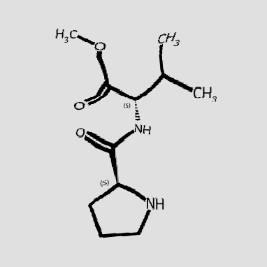 COC(=O)[C@@H](NC(=O)[C@@H]1CCCN1)C(C)C